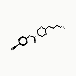 CCCC[C@H]1OC[C@H](C(=O)Oc2ccc(C#N)cc2)CO1